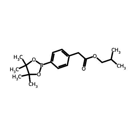 CC(C)COC(=O)Cc1ccc(B2OC(C)(C)C(C)(C)O2)cc1